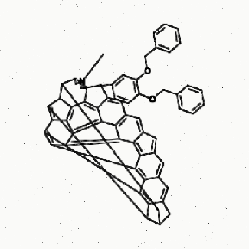 CN1CC2C3CC4Cc5cc6cc7cc8cc9cc%10c%11c(c%12c%13c%14c%15c(c5C4C=%14C%123)c6c3c7c8c4c9c%11c%13c4c%153)C2(C%10)C1c1ccc(OCc2ccccc2)c(OCc2ccccc2)c1